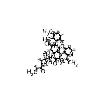 [2H]C([2H])(n1c(=O)c(=O)n(-c2c(C)ccnc2C(C)C)c2nc(-c3c(F)ccc(C)c3O)c(Cl)cc21)C1(F)CN(C(=O)C=C)C1